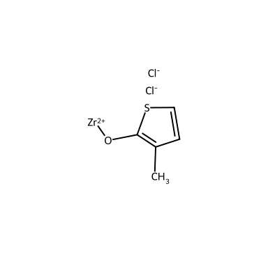 Cc1ccsc1[O][Zr+2].[Cl-].[Cl-]